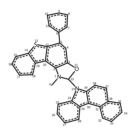 CN1c2c(cc(-c3ccccc3)c3sc4ccccc4c23)OC1n1c2ccccc2c2c3ccccc3ccc21